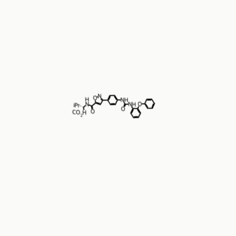 CC(C)[C@H](NC(=O)c1cc(-c2ccc(NC(=O)Nc3ccccc3Oc3ccccc3)cc2)no1)C(=O)O